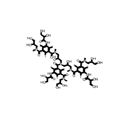 CN(CC(O)CO)C(=O)c1c(I)c(NC(=O)C(O)CO)c(I)c(C(=O)N(C)CC(O)CN(CC(O)CN(C)C(=O)c2c(I)c(NC(=O)C(O)CO)c(I)c(C(=O)N(C)CC(O)CO)c2I)C(=O)c2c(I)c(NC(=O)C(O)CO)c(I)c(C(=O)N(C)CC(O)CO)c2I)c1I